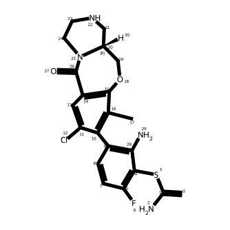 C=C(N)Sc1c(F)ccc(-c2c(Cl)cc3c(c2C)OC[C@H]2CNCCN2C3=O)c1N